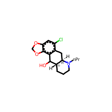 CCCN1CCC[C@@H]2C(O)c3c(c(Cl)cc4c3OCO4)C[C@H]21